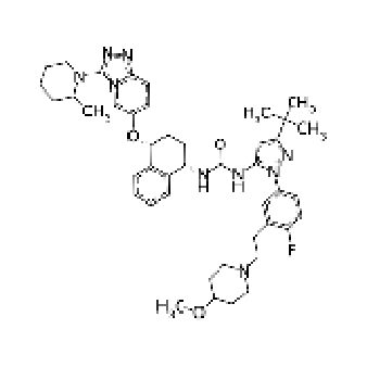 COC1CCN(CCc2cc(-n3nc(C(C)(C)C)cc3NC(=O)N[C@H]3CC[C@@H](Oc4ccc5nnc(N6CCCCC6C)n5c4)c4ccccc43)ccc2F)CC1